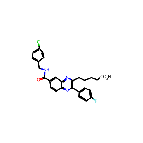 O=C(O)CCCCc1nc2cc(C(=O)NCc3ccc(Cl)cc3)ccc2nc1-c1ccc(F)cc1